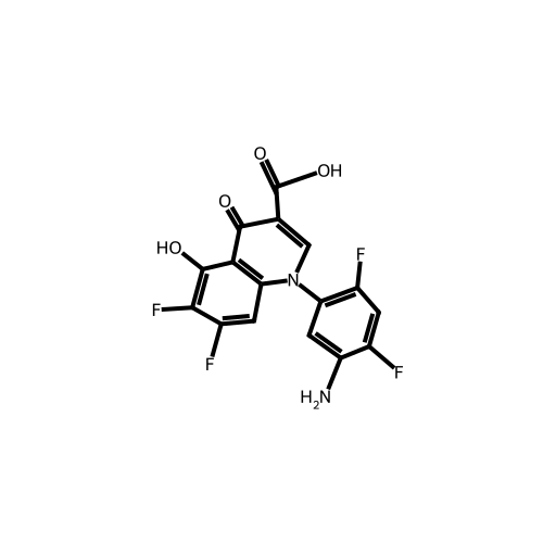 Nc1cc(-n2cc(C(=O)O)c(=O)c3c(O)c(F)c(F)cc32)c(F)cc1F